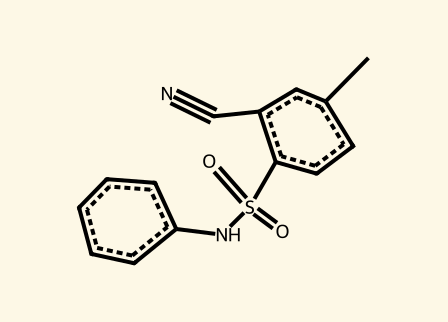 Cc1ccc(S(=O)(=O)Nc2ccccc2)c(C#N)c1